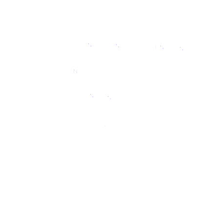 C=C(c1oc2ccccc2c(=O)c1-c1cccc(F)c1)n1nc(-c2ccc3c(C)n[nH]c3c2)c2c(N)ncnc21